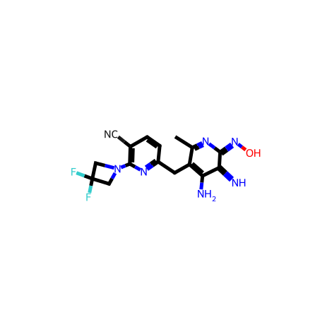 CC1=N/C(=N/O)C(=N)C(N)=C1Cc1ccc(C#N)c(N2CC(F)(F)C2)n1